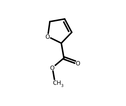 COC(=O)C1C=CCO1